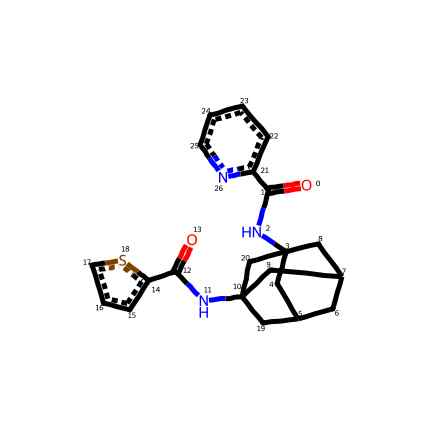 O=C(NC12CC3CC(C1)CC(NC(=O)c1cccs1)(C3)C2)c1ccccn1